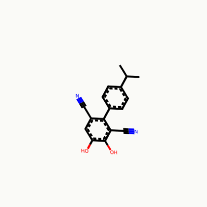 CC(C)c1ccc(-c2c(C#N)cc(O)c(O)c2C#N)cc1